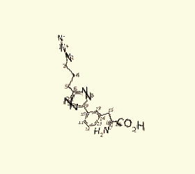 [N-]=[N+]=NCCCc1nnc(-c2cccc(C[C@H](N)C(=O)O)c2)nn1